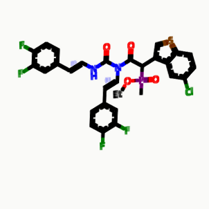 CCOP(C)(=O)C(C(=O)N(/C=C/c1ccc(F)c(F)c1)C(=O)N/C=C/c1ccc(F)c(F)c1)c1csc2ccc(Cl)cc12